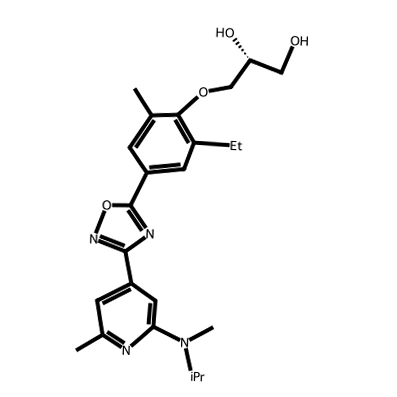 CCc1cc(-c2nc(-c3cc(C)nc(N(C)C(C)C)c3)no2)cc(C)c1OC[C@H](O)CO